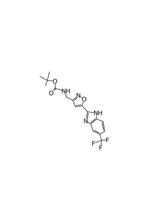 CC(C)(C)OC(=O)NCc1cc(-c2nc3cc(C(F)(F)F)ccc3[nH]2)on1